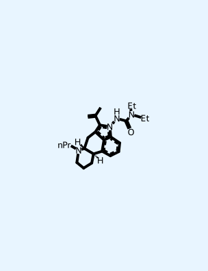 C=C(C)c1c2c3c(cccc3n1NC(=O)N(CC)CC)[C@H]1CCCN(CCC)[C@@H]1C2